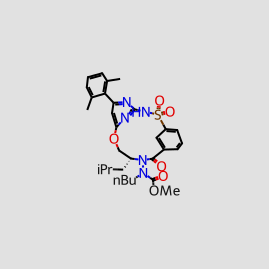 CCCCN(C(=O)OC)N1C(=O)c2cccc(c2)S(=O)(=O)Nc2nc(cc(-c3c(C)cccc3C)n2)OC[C@H]1CC(C)C